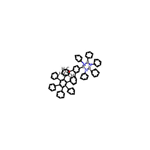 CC(C)(C)c1ccc(B2N(c3ccccc3)B(c3ccccc3)N(c3ccccc3)B(c3ccccc3)N2c2ccccc2)cc1-c1cccc(-c2c(-c3ccccc3)c(-c3ccccc3)c(-c3ccccc3)c(-c3ccccc3)c2-c2ccccc2)c1